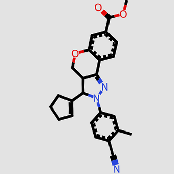 COC(=O)c1ccc2c(c1)OCC1C2=NN(c2ccc(C#N)c(C)c2)C1C1=CCCC1